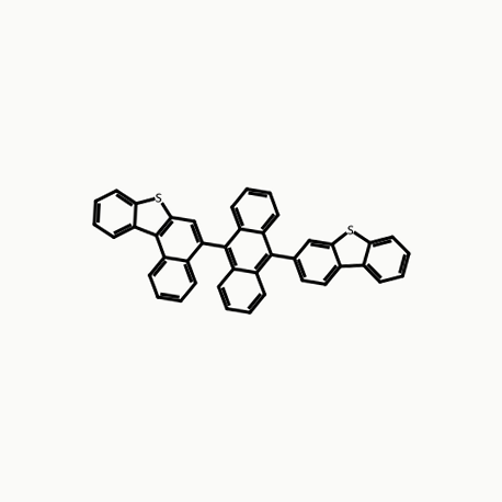 c1ccc2c(c1)sc1cc(-c3c4ccccc4c(-c4cc5sc6ccccc6c5c5ccccc45)c4ccccc34)ccc12